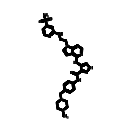 CN1CCN(Cc2ccc(NC(=O)c3n[nH]cc3Nc3ncnc4c3ccn4CCNc3cc(S(N)(=O)=O)ccn3)cc2)CC1